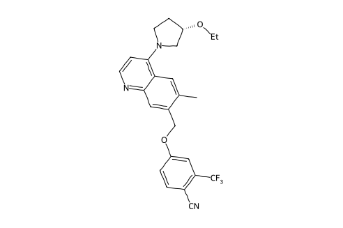 CCO[C@H]1CCN(c2ccnc3cc(COc4ccc(C#N)c(C(F)(F)F)c4)c(C)cc23)C1